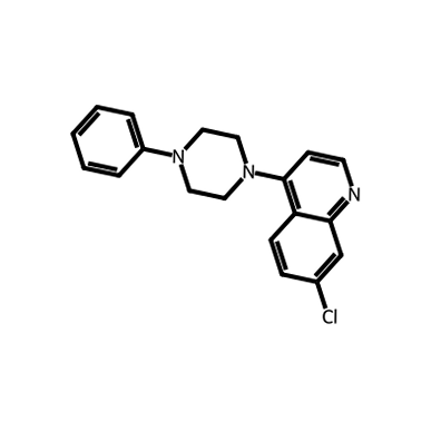 Clc1ccc2c(N3CCN(c4ccccc4)CC3)ccnc2c1